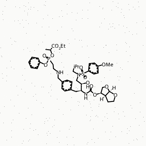 CCOC(=O)[C@H](C)OP(=O)(CCNCc1ccc(C[C@H](NC(=O)O[C@H]2CO[C@H]3OCC[C@H]32)[C@H](O)CN(CC(C)C)S(=O)(=O)c2ccc(OC)cc2)cc1)Oc1ccccc1